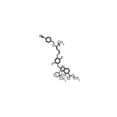 C=N/C(=C\C=C/Cc1cc(F)c(Cc2nc3ccc(C(=O)OC)cc3n2[C@@H]2COCC2(C)C)cc1F)OCc1ccc(C#N)cc1